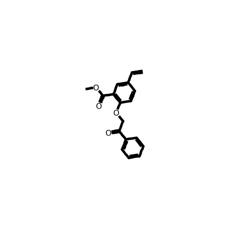 C=Cc1ccc(OCC(=O)c2ccccc2)c(C(=O)OC)c1